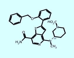 CN(c1ncc(C(N)=O)c2sc(-c3ccccc3OCc3ccccc3)cc12)[C@H]1CCCN(C(=O)O)C1